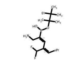 CCC/C=C(\C=C(/CN)B(O)OC(C)(C)C(C)(C)CC)C(F)F